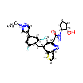 Cn1cc(-c2cc(F)c(Cc3cc(C(=O)N[C@H]4CCC[C@@H]4O)nc4ccsc34)c(F)c2)cn1